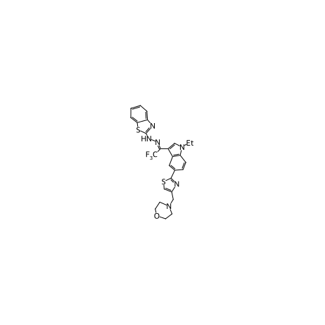 CCn1cc(/C(=N/Nc2nc3ccccc3s2)C(F)(F)F)c2cc(-c3nc(CN4CCOCC4)cs3)ccc21